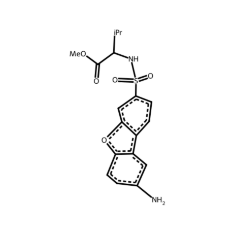 COC(=O)C(NS(=O)(=O)c1ccc2c(c1)oc1ccc(N)cc12)C(C)C